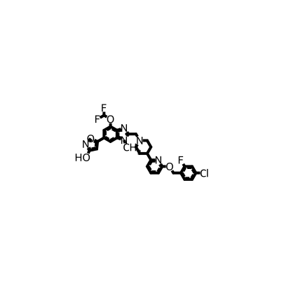 Cn1c(CN2CCC(c3cccc(OCc4ccc(Cl)cc4F)n3)CC2)nc2c(OC(F)F)cc(-c3cc(O)no3)cc21